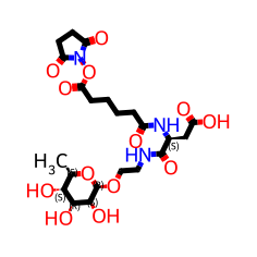 C[C@@H]1O[C@@H](OCCNC(=O)[C@H](CC(=O)O)NC(=O)CCCCC(=O)ON2C(=O)CCC2=O)[C@@H](O)[C@H](O)[C@@H]1O